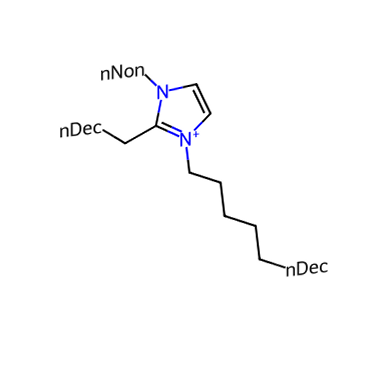 CCCCCCCCCCCCCCC[n+]1ccn(CCCCCCCCC)c1CCCCCCCCCCC